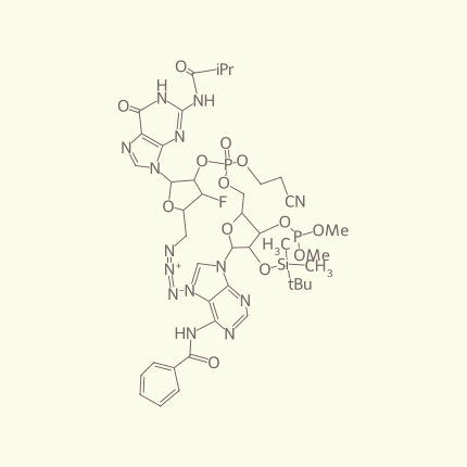 COP(OC)OC1C(COP(=O)(OCCC#N)OC2C(F)C(CN=[N+]=[N-])OC2n2cnc3c(=O)[nH]c(NC(=O)C(C)C)nc32)OC(n2cnc3c(NC(=O)c4ccccc4)ncnc32)C1O[Si](C)(C)C(C)(C)C